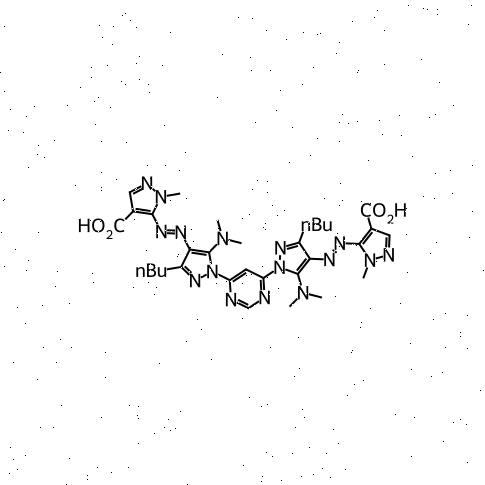 CCCCc1nn(-c2cc(-n3nc(CCCC)c(/N=N/c4c(C(=O)O)cnn4C)c3N(C)C)ncn2)c(N(C)C)c1/N=N/c1c(C(=O)O)cnn1C